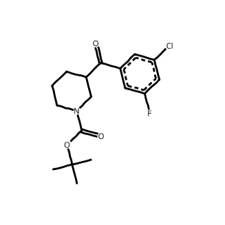 CC(C)(C)OC(=O)N1CCCC(C(=O)c2cc(F)cc(Cl)c2)C1